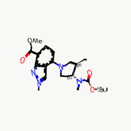 COC(=O)c1ccc(N2C[C@@H](C)[C@H](N(C)C(=O)OC(C)(C)C)C2)c2cn(C)nc12